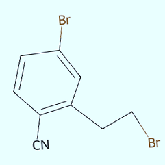 N#Cc1ccc(Br)cc1CCBr